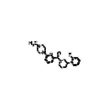 CN1CCN(c2cccc(C(=O)N3CCCC(c4ccccc4F)C3)n2)CC1